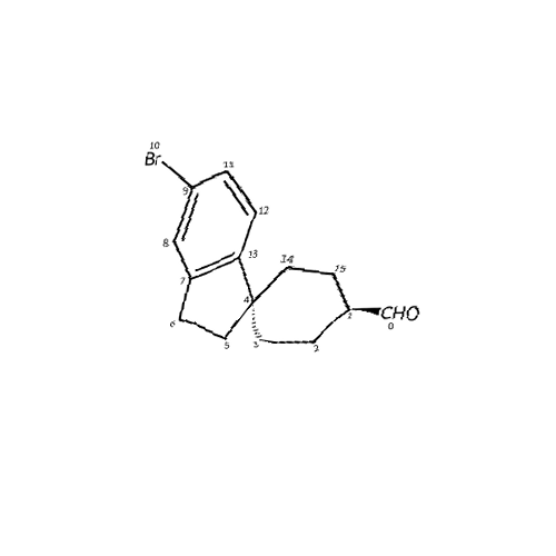 O=C[C@H]1CC[C@@]2(CCc3cc(Br)ccc32)CC1